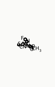 CS(=O)(=O)N1CCN(C(=O)c2cnc3ccc(F)cc3c2N2CCC(C#N)(c3cccs3)CC2)CC1